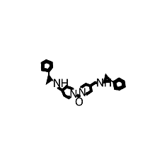 O=C(N1CCC(CN[C@@H]2C[C@H]2c2ccccc2)CC1)N1CCC(CN[C@@H]2C[C@H]2c2ccccc2)CC1